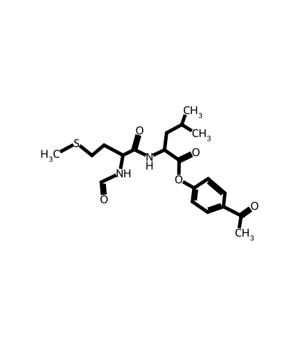 CSCCC(NC=O)C(=O)NC(CC(C)C)C(=O)Oc1ccc(C(C)=O)cc1